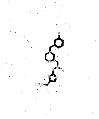 CCOC(=O)Cc1csc(SN(C[C@@H]2CN(Cc3cccc(F)c3)CCO2)C(C)=O)n1